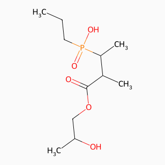 CCCP(=O)(O)C(C)C(C)C(=O)OCC(C)O